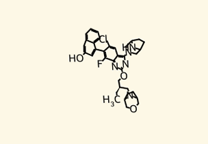 CC[C@@H](COc1nc(N2CC3CCC(C2)N3)c2cc(Cl)c(-c3cc(O)cc4ccccc34)c(F)c2n1)CN1C2CCC1COC2